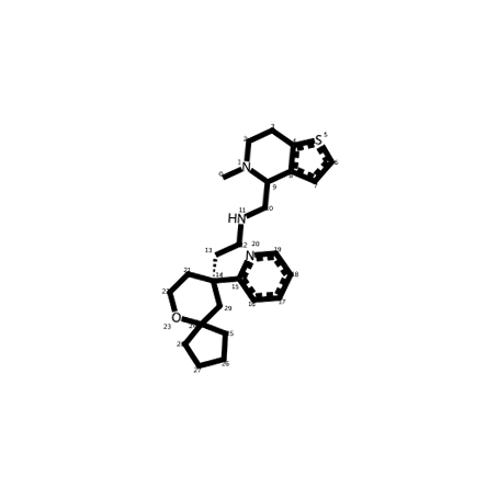 CN1CCc2sccc2C1CNCC[C@@]1(c2ccccn2)CCOC2(CCCC2)C1